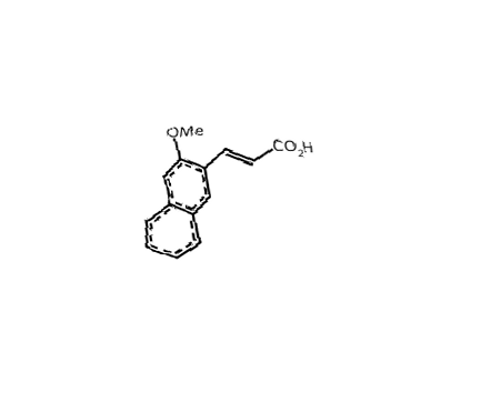 COc1cc2ccccc2cc1/C=C/C(=O)O